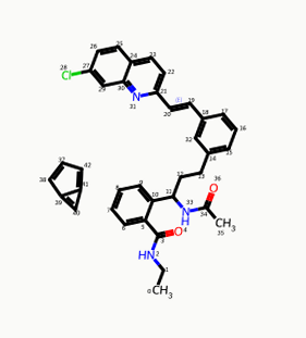 CCNC(=O)c1ccccc1C(CCc1cccc(/C=C/c2ccc3ccc(Cl)cc3n2)c1)NC(C)=O.c1cc2cc-2c1